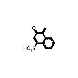 C=C1C(=O)C=C(S(=O)(=O)O)c2ccccc21